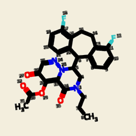 CCCN1CC(C2c3cccc(F)c3CCc3c(F)cccc32)n2ncc(=O)c(OC(C)=O)c2C1=O